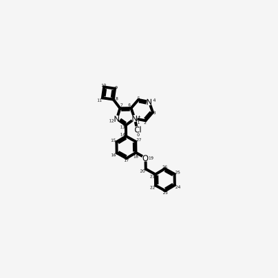 Cl[N+]12C=CN=CC1=C(C1=CC=C1)N=C2c1cccc(OCc2ccccc2)c1